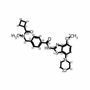 COc1ccc(N2CCOCC2)c2sc(NC(=O)c3ccc(CN(C)C(=O)C4CCC4)cc3)nc12